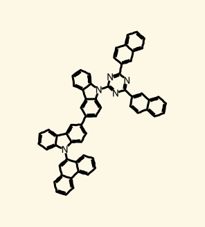 c1ccc2cc(-c3nc(-c4ccc5ccccc5c4)nc(-n4c5ccccc5c5cc(-c6ccc7c(c6)c6ccccc6n7-c6cc7ccccc7c7ccccc67)ccc54)n3)ccc2c1